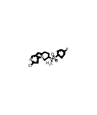 CN(C1CCc2cc3cnc(Cl)cc3n2C1)S(=O)(=O)c1ccc(F)cc1